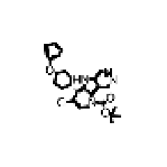 CC(C)(C)OC(=O)N1CC=C(Cl)C([C@H]2CC[C@H](Oc3ccccc3)CC2)=c2[nH]c3c(c21)CN=NC=3